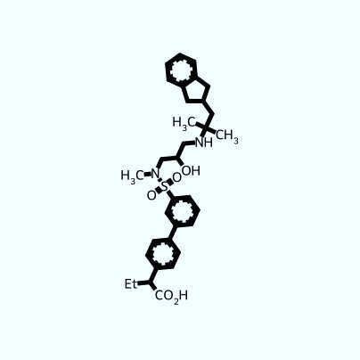 CCC(C(=O)O)c1ccc(-c2cccc(S(=O)(=O)N(C)CC(O)CNC(C)(C)CC3Cc4ccccc4C3)c2)cc1